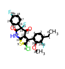 CCc1ccc(-c2c(Cl)sc3c2C(=O)C(F)(c2ccc(F)cc2)C(=O)N3)c(OC)c1F